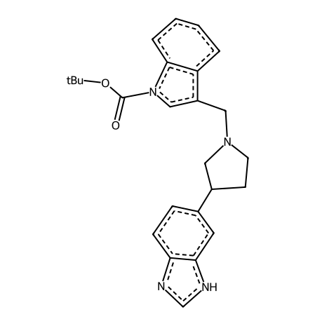 CC(C)(C)OC(=O)n1cc(CN2CCC(c3ccc4nc[nH]c4c3)C2)c2ccccc21